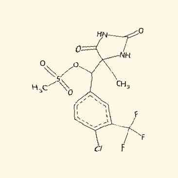 CC1(C(OS(C)(=O)=O)c2ccc(Cl)c(C(F)(F)F)c2)NC(=O)NC1=O